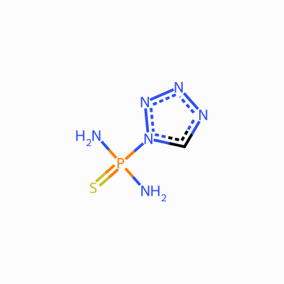 NP(N)(=S)n1cnnn1